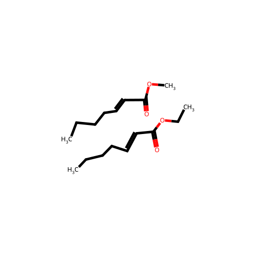 CCCCC=CC(=O)OC.CCCCC=CC(=O)OCC